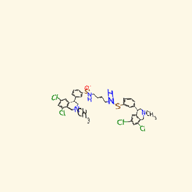 CN1Cc2c(Cl)cc(Cl)cc2C(c2cccc(SNCCCCN[S+]([O-])c3cccc(C4CN(C)Cc5c(Cl)cc(Cl)cc54)c3)c2)C1